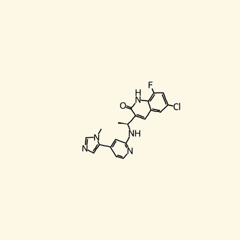 C[C@H](Nc1cc(-c2cncn2C)ccn1)c1cc2cc(Cl)cc(F)c2[nH]c1=O